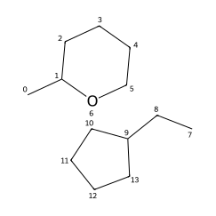 CC1CCCCO1.CCC1CCCC1